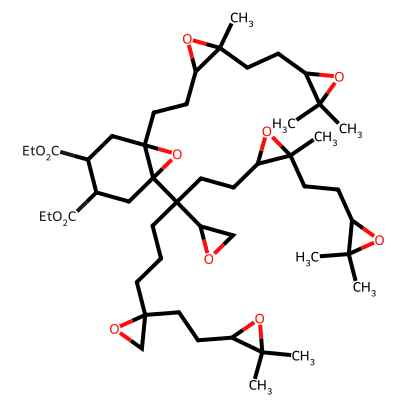 CCOC(=O)C1CC2(CCC3OC3(C)CCC3OC3(C)C)OC2(C(CCCC2(CCC3OC3(C)C)CO2)(CCC2OC2(C)CCC2OC2(C)C)C2CO2)CC1C(=O)OCC